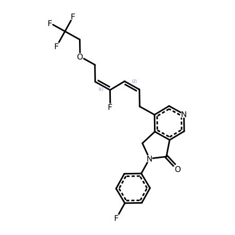 O=C1c2cncc(C/C=C\C(F)=C/COCC(F)(F)F)c2CN1c1ccc(F)cc1